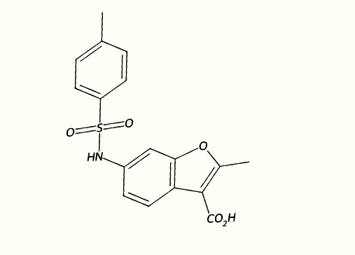 Cc1ccc(S(=O)(=O)Nc2ccc3c(C(=O)O)c(C)oc3c2)cc1